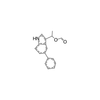 CC(OC=O)c1c[nH]c2ccc(-c3ccccc3)cc12